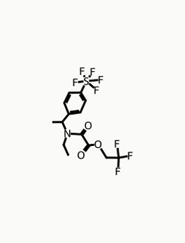 CCN(C(=O)C(=O)OCC(F)(F)F)C(C)c1ccc(S(F)(F)(F)(F)F)cc1